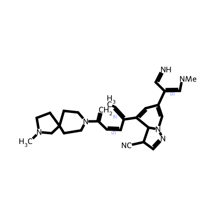 C=C(/C=C\C(=C/C)C1=CC(/C(C=N)=C/NC)=CN2N=CC(C#N)C12)N1CCC2(CCN(C)C2)CC1